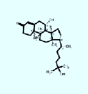 C[C@H](CCCC(C)(C)O)[C@H]1CC[C@H]2[C@@H]3[C@@H](O)CC4=CC(=O)CC[C@]4(C)[C@H]3CC[C@]12C